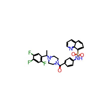 CC(c1cc(F)c(F)cc1F)N1CCN(C(=O)c2ccc(NS(=O)(=O)c3cccc4cccnc34)cc2)CC1